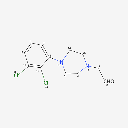 O=CCN1CCN(c2cccc(Cl)c2Cl)CC1